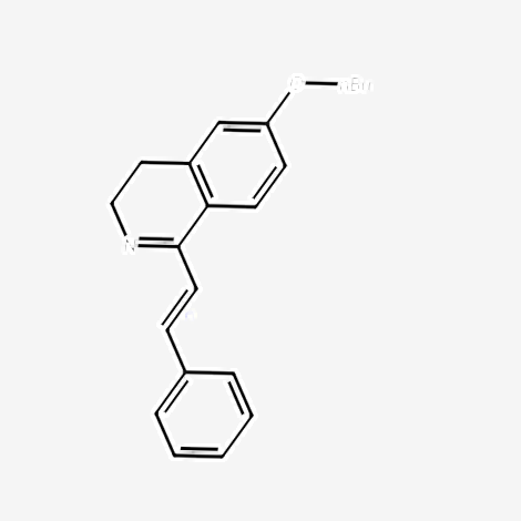 CCCCOc1ccc2c(c1)CCN=C2/C=C/c1ccccc1